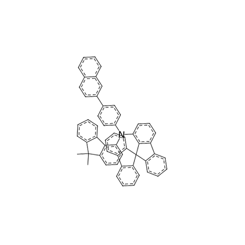 CC1(C)c2ccccc2-c2c(N(c3ccc(-c4ccc5ccccc5c4)cc3)c3cccc4c3C3(c5ccccc5-c5ccccc53)c3ccccc3-4)cccc21